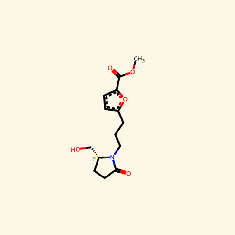 COC(=O)c1ccc(CCCN2C(=O)CC[C@@H]2CO)o1